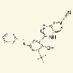 CC(C)(C)c1cc(C=Cc2ccccc2)cc(C(=O)Nc2ccc(C#N)cc2Cl)c1O